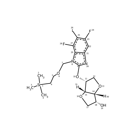 C[Si](C)(C)CCOCn1c(O[C@@H]2CO[C@H]3[C@@H]2OC[C@H]3O)nc2cc(F)c(I)c(F)c21